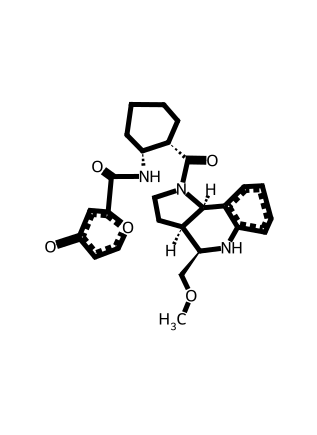 COC[C@@H]1Nc2ccccc2[C@H]2[C@@H]1CCN2C(=O)[C@H]1CCCC[C@H]1NC(=O)c1cc(=O)cco1